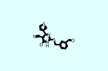 N#Cc1c(-c2ccsc2)nc(SCc2cccc(C=O)c2)[nH]c1=O